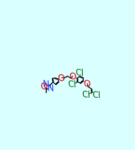 Cc1nc(-c2ccc(OCCCOc3c(Cl)cc(OCC=C(Cl)Cl)cc3Cl)cc2)no1